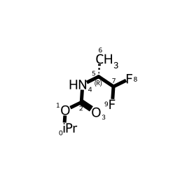 CC(C)OC(=O)N[C@H](C)C(F)F